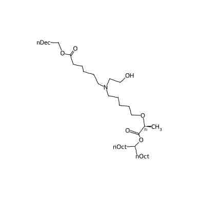 CCCCCCCCCCCOC(=O)CCCCCN(CCO)CCCCCO[C@@H](C)C(=O)OC(CCCCCCCC)CCCCCCCC